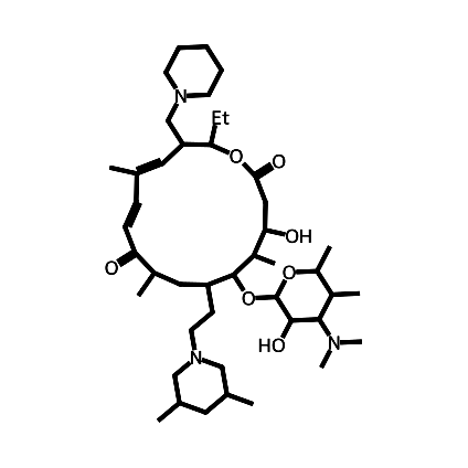 CCC1OC(=O)CC(O)C(C)C(OC2OC(C)C(C)C(N(C)C)C2O)C(CCN2CC(C)CC(C)C2)CC(C)C(=O)/C=C/C(C)=C/C1CN1CCCCC1